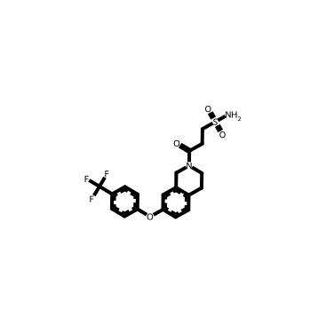 NS(=O)(=O)CCC(=O)N1CCc2ccc(Oc3ccc(C(F)(F)F)cc3)cc2C1